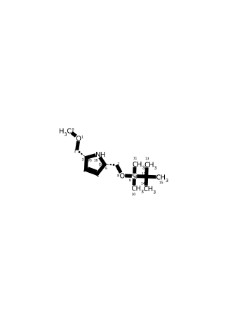 COC[C@H]1C=C[C@@H](CO[Si](C)(C)C(C)(C)C)N1